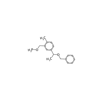 Cc1ccc(C(C)OCc2ccccc2)cc1COP